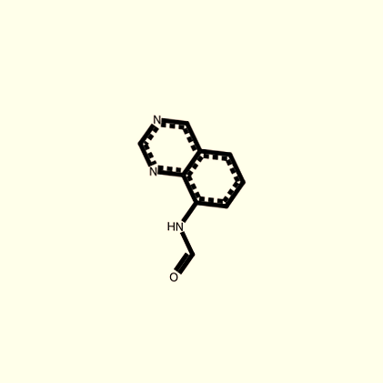 O=CNc1cccc2cncnc12